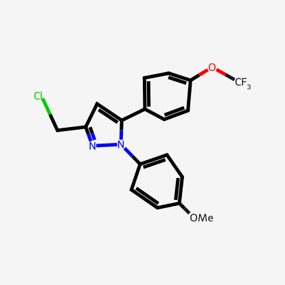 COc1ccc(-n2nc(CCl)cc2-c2ccc(OC(F)(F)F)cc2)cc1